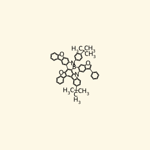 CC(C)(C)c1ccc(N2B3c4cc5occ(-c6ccccc6)c5cc4-n4c5ccc(C(C)(C)C)cc5c5c6c(oc7ccccc76)c(c3c54)-c3cc4c(cc32)oc2ccccc24)cc1